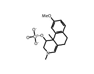 COc1ccc2c(c1)C1(C)C(=CN(C)CC1O[Cl+3]([O-])([O-])[O-])CC2